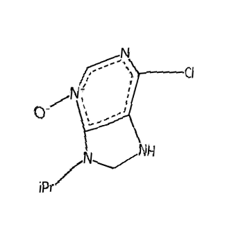 CC(C)N1CNc2c(Cl)nc[n+]([O-])c21